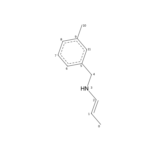 CC=CNCc1cccc(C)c1